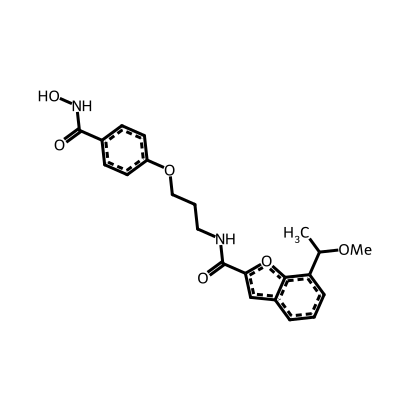 COC(C)c1cccc2cc(C(=O)NCCCOc3ccc(C(=O)NO)cc3)oc12